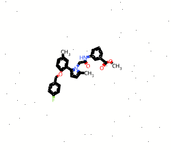 COC(=O)c1cccc(NC(=O)Cn2c(C)ccc2-c2cc(C)ccc2OCc2ccc(F)cc2)c1